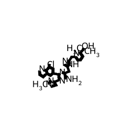 Cn1ccc(-c2nc(N)c(Cc3cnc(Cc4cccc(C(C)(C)O)n4)[nH]3)nc2-c2cc(Cl)c3ncccc3c2)n1